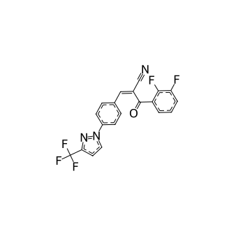 N#CC(=Cc1ccc(-n2ccc(C(F)(F)F)n2)cc1)C(=O)c1cccc(F)c1F